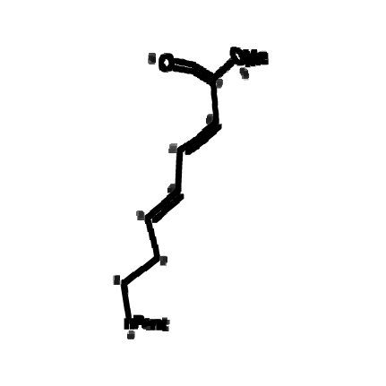 CCCCCCCC=CC=CC(=O)OC